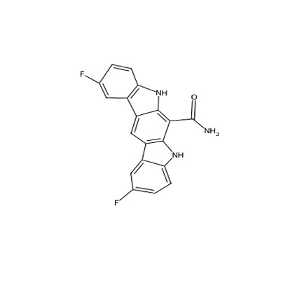 NC(=O)c1c2[nH]c3ccc(F)cc3c2cc2c1[nH]c1ccc(F)cc12